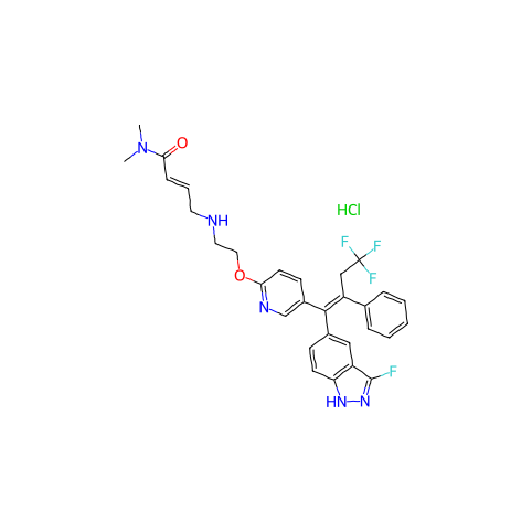 CN(C)C(=O)C=CCNCCOc1ccc(C(=C(CC(F)(F)F)c2ccccc2)c2ccc3[nH]nc(F)c3c2)cn1.Cl